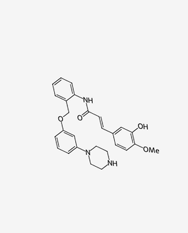 COc1ccc(C=CC(=O)Nc2ccccc2COc2cccc(N3CCNCC3)c2)cc1O